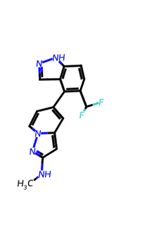 CNc1cc2cc(-c3c(C(F)F)ccc4[nH]ncc34)ccn2n1